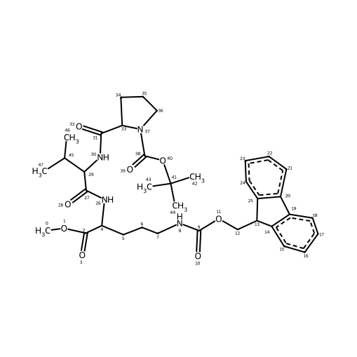 COC(=O)C(CCCNC(=O)OCC1c2ccccc2-c2ccccc21)NC(=O)C(NC(=O)C1CCCN1C(=O)OC(C)(C)C)C(C)C